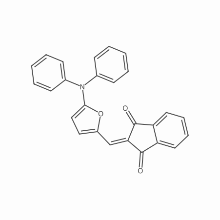 O=C1C(=Cc2ccc(N(c3ccccc3)c3ccccc3)o2)C(=O)c2ccccc21